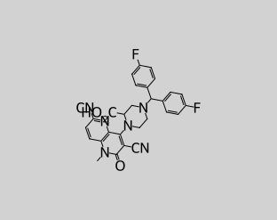 Cn1c(=O)c(C#N)c(N2CCN(C(c3ccc(F)cc3)c3ccc(F)cc3)CC2C(=O)O)c2nc(C#N)ccc21